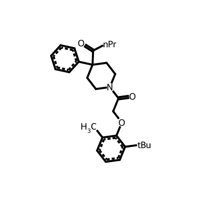 CCCC(=O)C1(c2ccccc2)CCN(C(=O)COc2c(C)cccc2C(C)(C)C)CC1